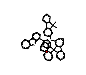 CC1(C)c2ccccc2-c2ccc(N(c3ccccc3)c3cccc4c3C(c3ccccc3)(c3ccc(-c5cccc6c5oc5ccccc56)cc3)c3ccccc3-4)cc21